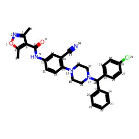 Cc1noc(C)c1C(=O)Nc1ccc(N2CCN(C(c3ccccc3)c3ccc(Cl)cc3)CC2)c(C#N)c1